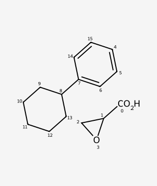 O=C(O)C1CO1.c1ccc(C2CCCCC2)cc1